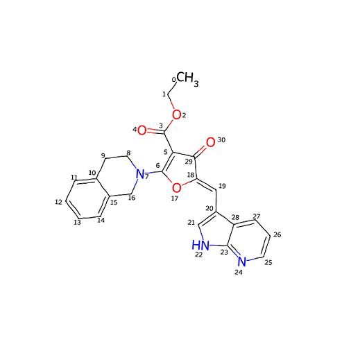 CCOC(=O)C1=C(N2CCc3ccccc3C2)O/C(=C\c2c[nH]c3ncccc23)C1=O